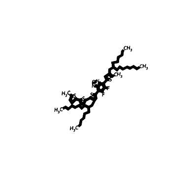 CCCCCCCCC(CCCCCC)Cc1cc(-c2c(F)c(F)c(-c3cc(CC(CCCCCC)CCCCCCCC)c(-c4ccc(-c5ccc(C)s5)s4)s3)c3nsnc23)sc1C